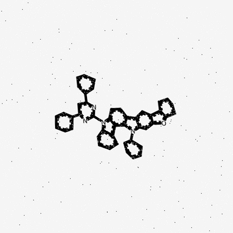 c1ccc(-c2cc(-c3ccccc3)nc(-n3c4ccccc4c4c3ccc3c5cc6c(cc5n(-c5ccccc5)c34)oc3ccccc36)n2)cc1